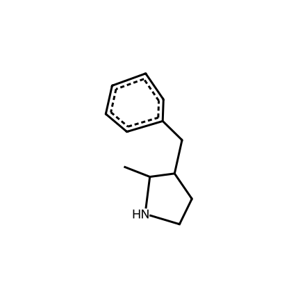 CC1NCCC1Cc1ccccc1